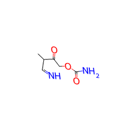 CC(C=N)C(=O)COC(N)=O